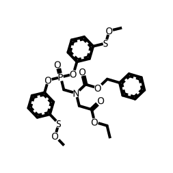 CCOC(=O)CN(CP(=O)(Oc1cccc(SOC)c1)Oc1cccc(SOC)c1)C(=O)OCc1ccccc1